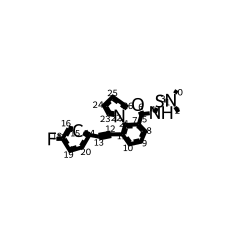 CN(C)SNC(=O)c1cccc(C#Cc2ccc(F)cc2)c1-n1cccc1